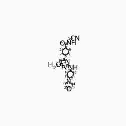 N#CCNC(=O)c1ccc(-c2ccnc(Nc3ccc(N4CCOCC4)cc3)n2)cc1.O